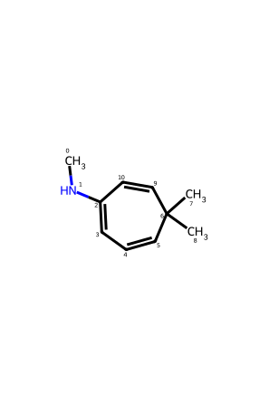 CNC1=CC=CC(C)(C)C=C1